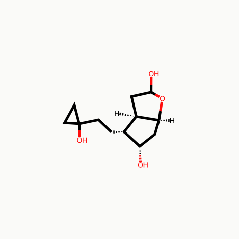 OC1C[C@@H]2[C@@H](CCC3(O)CC3)[C@@H](O)C[C@@H]2O1